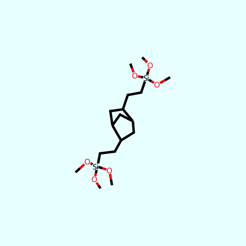 CO[Si](CCC1CC2CC1CC2CC[Si](OC)(OC)OC)(OC)OC